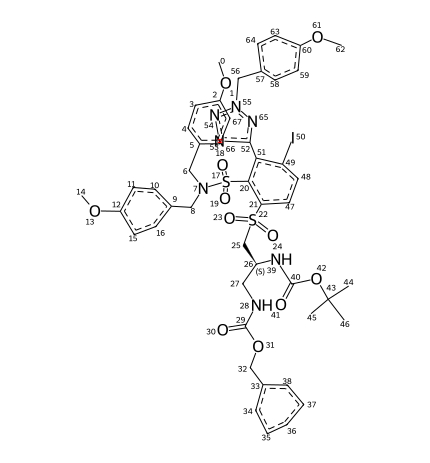 COc1ccc(CN(Cc2ccc(OC)cc2)S(=O)(=O)c2c(S(=O)(=O)C[C@H](CNC(=O)OCc3ccccc3)NC(=O)OC(C)(C)C)ccc(I)c2-c2nnn(Cc3ccc(OC)cc3)n2)cc1